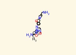 CC(C)(N)C(=O)N1CCN(C(/C=C\NC=O)=N/c2ccc3c(c2)OCC(N2CC4C(CN)C4C2)C3)CC1